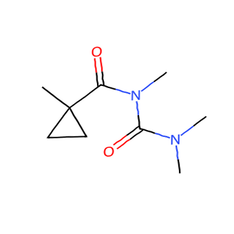 CN(C)C(=O)N(C)C(=O)C1(C)CC1